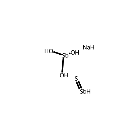 [NaH].[OH][Sb]([OH])[OH].[S]=[SbH]